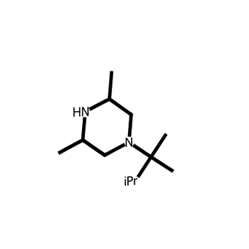 CC1CN(C(C)(C)C(C)C)CC(C)N1